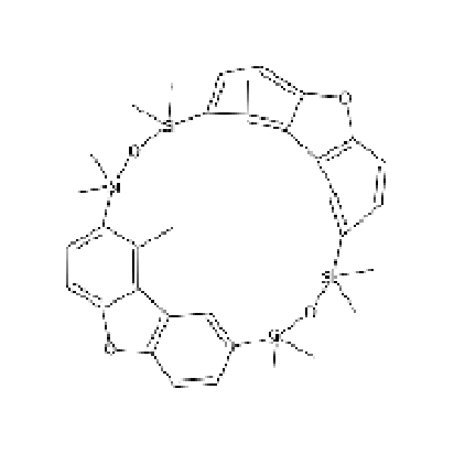 Cc1c2ccc3oc4ccc(cc4c13)[Si](C)(C)O[Si](C)(C)c1ccc3oc4ccc(c(C)c4c3c1)[Si](C)(C)O[Si]2(C)C